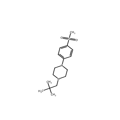 CC(C)(C)CN1CCN(c2ccc(S(C)(=O)=O)cc2)CC1